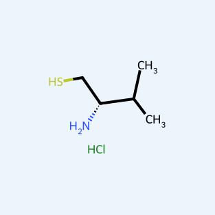 CC(C)[C@H](N)CS.Cl